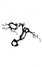 COC1C2CC3(C(=O)N4CC[C@H](N)C(C)(C)C4)CC1CC(c1ccccc1)(C2)C3